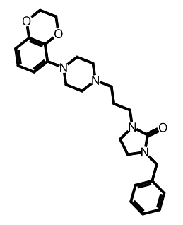 O=C1N(CCCN2CCN(c3cccc4c3OCCO4)CC2)CCN1Cc1ccccc1